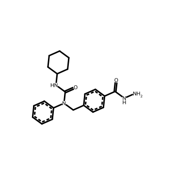 NNC(=O)c1ccc(CN(C(=O)NC2CCCCC2)c2ccccc2)cc1